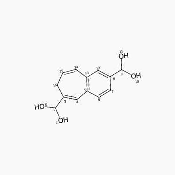 OC(O)C1=Cc2ccc(C(O)O)cc2C=CC1